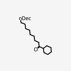 CCCCCCCCCCCCCCCCCCC(=O)C1CCCCC1